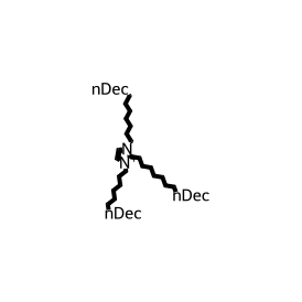 CCCCCCCCCCCCCCCCCc1n(CCCCCCCCCCCCCCCCC)cc[n+]1CCCCCCCCCCCCCCCC